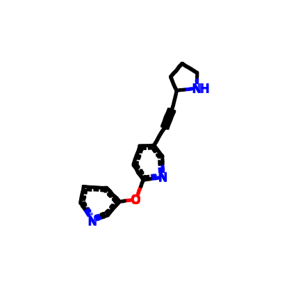 C(#CC1CCCN1)c1ccc(Oc2cccnc2)nc1